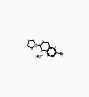 Brc1ccc2c(c1)CCC(N1CCCC1)C2.Cl